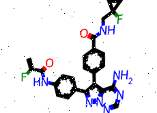 C=C(F)C(=O)Nc1ccc(-c2nn3ncnc(N)c3c2-c2ccc(C(=O)NCC3(F)CC3)cc2)cc1